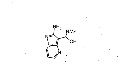 CNC(O)c1c(N)nn2cccnc12